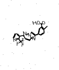 Cc1ccc(-c2cn3nc(-c4cccnc4C(F)(F)F)ccc3n2)cc1C(=O)O